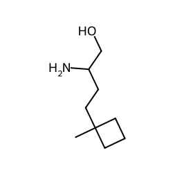 CC1(CCC(N)CO)CCC1